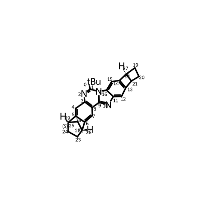 CC(C)(C)c1nc2cc3c(cc2c2nc4cc5c(cc4n12)[C@H]1CCC51)[C@@H]1CC[C@H]3C1